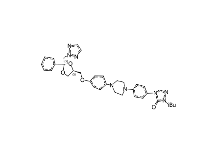 CCC(C)n1ncn(-c2ccc(N3CCN(c4ccc(OC[C@H]5CO[C@@](Cn6nccn6)(c6ccccc6)O5)cc4)CC3)cc2)c1=O